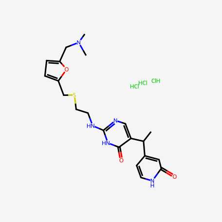 CC(c1cc[nH]c(=O)c1)c1cnc(NCCSCc2ccc(CN(C)C)o2)[nH]c1=O.Cl.Cl.Cl